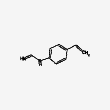 C=Cc1ccc(NC=N)cc1